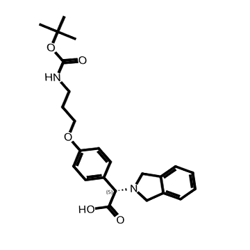 CC(C)(C)OC(=O)NCCCOc1ccc([C@@H](C(=O)O)N2Cc3ccccc3C2)cc1